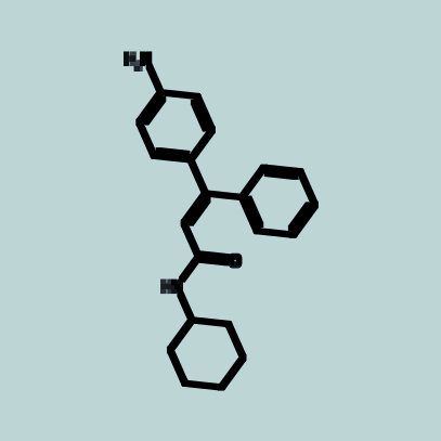 Nc1ccc(C(=CC(=O)NC2CCCCC2)c2ccccc2)cc1